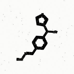 CCCC(c1ccc(C=NOC)cc1)n1ccnc1